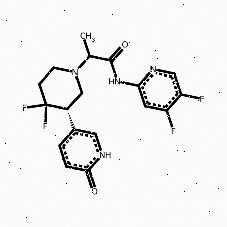 CC(C(=O)Nc1cc(F)c(F)cn1)N1CCC(F)(F)[C@@H](c2ccc(=O)[nH]c2)C1